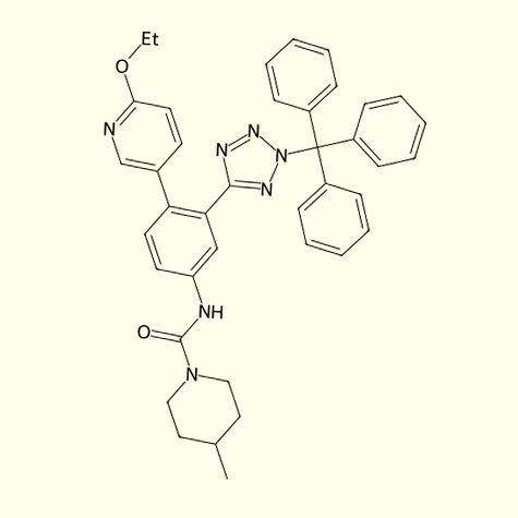 CCOc1ccc(-c2ccc(NC(=O)N3CCC(C)CC3)cc2-c2nnn(C(c3ccccc3)(c3ccccc3)c3ccccc3)n2)cn1